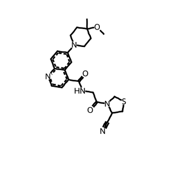 COC1(C)CCN(c2ccc3nccc(C(=O)NCC(=O)N4CSCC4C#N)c3c2)CC1